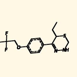 CCC1SCNN=C1c1ccc(OCC(F)(F)F)cc1